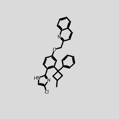 CC1CC(c2ccccc2)(c2cc(OCc3ccc4ccccc4n3)ccc2-c2nc(Cl)c[nH]2)C1